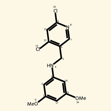 COc1cc(NCc2cnc(Cl)cc2Cl)cc(OC)c1